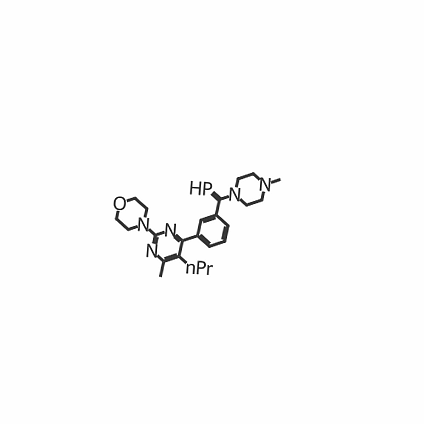 CCCc1c(C)nc(N2CCOCC2)nc1-c1cccc(C(=P)N2CCN(C)CC2)c1